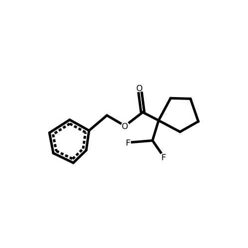 O=C(OCc1ccccc1)C1(C(F)F)CCCC1